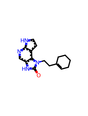 O=c1[nH]c2cnc3[nH]ccc3c2n1CCC1=CCCCC1